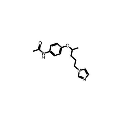 CC(=O)Nc1ccc(OC(C)CCCn2ccnc2)cc1